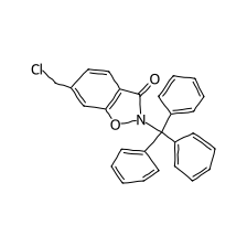 O=c1c2ccc(CCl)cc2on1C(c1ccccc1)(c1ccccc1)c1ccccc1